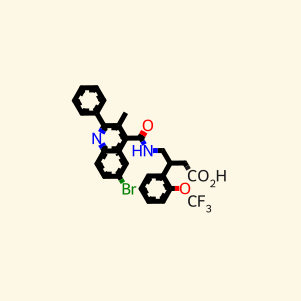 Cc1c(-c2ccccc2)nc2ccc(Br)cc2c1C(=O)NCC(CC(=O)O)c1ccccc1OC(F)(F)F